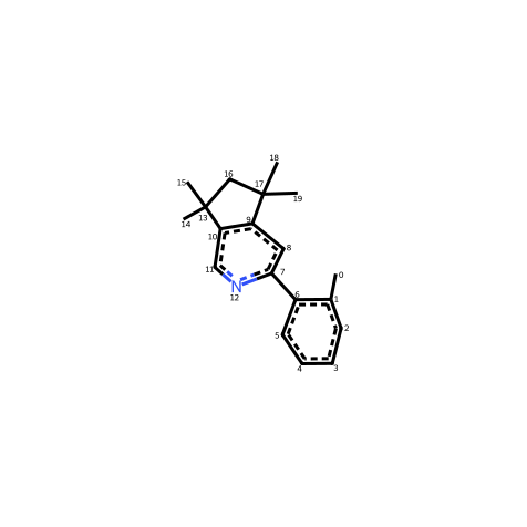 Cc1ccccc1-c1cc2c(cn1)C(C)(C)CC2(C)C